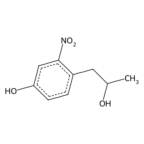 CC(O)Cc1ccc(O)cc1[N+](=O)[O-]